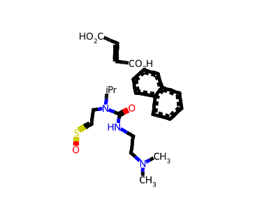 CC(C)N(CC=S=O)C(=O)NCCN(C)C.O=C(O)C=CC(=O)O.c1ccc2ccccc2c1